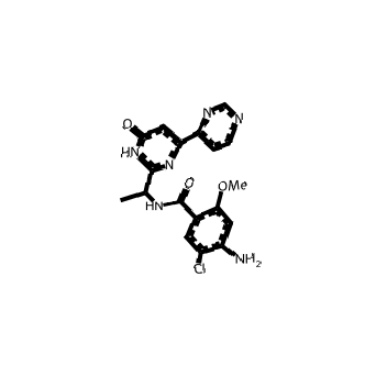 COc1cc(N)c(Cl)cc1C(=O)NC(C)c1nc(-c2ccncn2)cc(=O)[nH]1